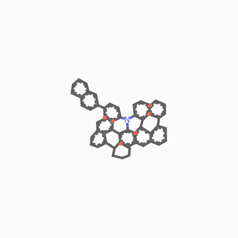 c1ccc(-c2cccc3cccc(-c4ccccc4N(c4ccc(-c5ccc6ccccc6c5)cc4)c4ccccc4-c4cccc5cccc(C6CCCCC6)c45)c23)cc1